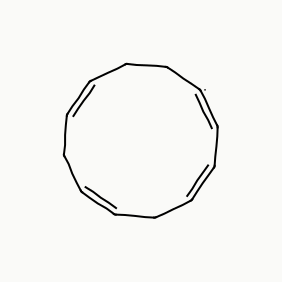 [C]1=CC=CCC=CCC=CCC1